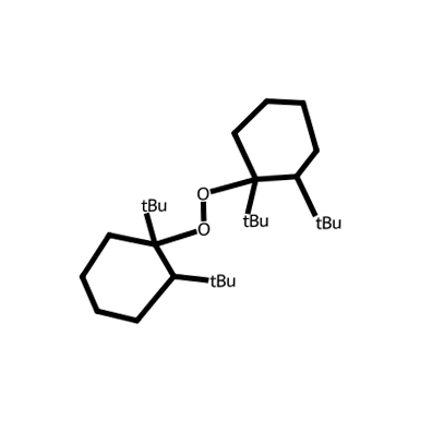 CC(C)(C)C1CCCCC1(OOC1(C(C)(C)C)CCCCC1C(C)(C)C)C(C)(C)C